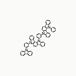 c1ccc(-n2c3ccccc3c3ccc4c(c5ccccc5n4-c4cccc(-n5c6ccccc6c6ccc7c(c8ccccc8n7-c7cccc(-n8c9ccccc9c9ccccc98)c7)c65)c4)c32)cc1